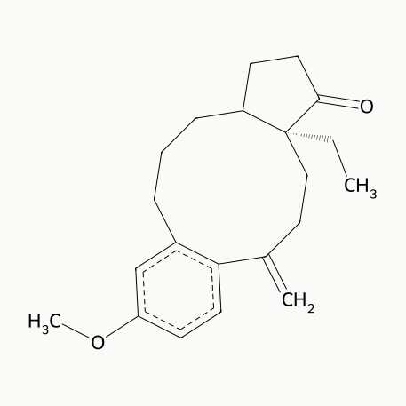 C=C1CC[C@]2(CC)C(=O)CCC2CCCc2cc(OC)ccc21